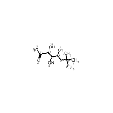 CC(C)(C)C[C@H](O)[C@@H](O)[C@@H](O)C(=O)O